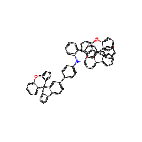 c1ccc(-c2ccc(-c3ccccc3N(c3ccc(-c4ccc5c(c4)C4(c6ccccc6Oc6ccccc64)c4ccccc4-5)cc3)c3ccc4c(c3)C3(c5ccccc5Oc5ccccc53)c3ccccc3-4)cc2)cc1